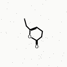 CCC1=CCCC(=O)O1